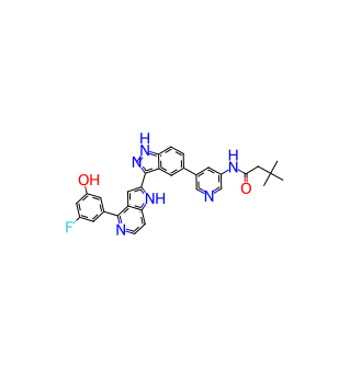 CC(C)(C)CC(=O)Nc1cncc(-c2ccc3[nH]nc(-c4cc5c(-c6cc(O)cc(F)c6)nccc5[nH]4)c3c2)c1